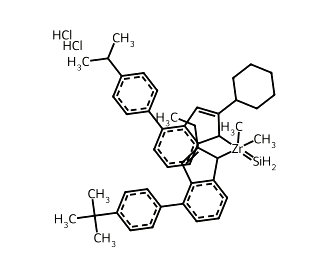 CCC1=Cc2c(-c3ccc(C(C)(C)C)cc3)cccc2[CH]1[Zr]([CH3])([CH3])(=[SiH2])[CH]1C(C2CCCCC2)=Cc2c(-c3ccc(C(C)C)cc3)cccc21.Cl.Cl